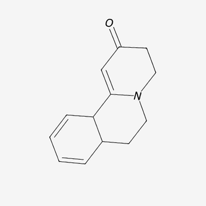 O=C1C=C2C3C=CC=CC3CCN2CC1